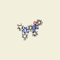 c1ccc(-c2nc(-c3ccccc3)nc(-c3ccc4c(c3)n(-c3ccccc3)c3nc5c6ccccc6oc5n43)n2)cc1